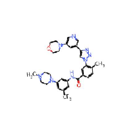 Cc1ccc(C(=O)Nc2cc(N3CCN(C)CC3)cc(C(F)(F)F)c2)cc1-n1cc(-c2cncc(N3CCOCC3)c2)nn1